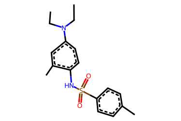 CCN(CC)c1ccc(NS(=O)(=O)c2ccc(C)cc2)c(C)c1